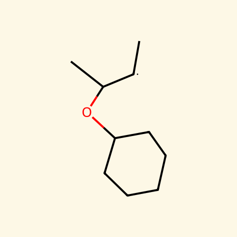 C[CH]C(C)OC1CCCCC1